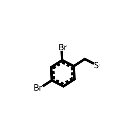 [S]Cc1ccc(Br)cc1Br